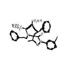 CCOC(=O)C1=C(C(=O)OCC)N(Cc2ccccc2)C2(C(=O)N(c3cccc(C)c3)N=C2C)C1c1ccccc1